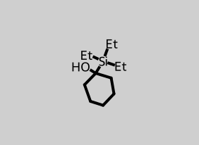 CC[Si](CC)(CC)C1(O)CCCCC1